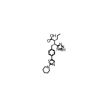 CCC[C@H](C(=O)O)[C@H](Cc1ccc(-c2cnc(N3CCCCC3)s2)cc1)c1nn[nH]n1